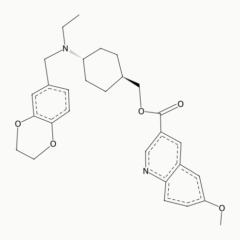 CCN(Cc1ccc2c(c1)OCCO2)[C@H]1CC[C@H](COC(=O)c2cnc3ccc(OC)cc3c2)CC1